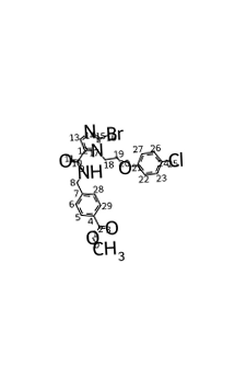 COC(=O)c1ccc(CNC(=O)c2cnc(Br)n2CCOc2ccc(Cl)cc2)cc1